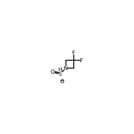 O=[SH](=O)N1CC(F)(F)C1